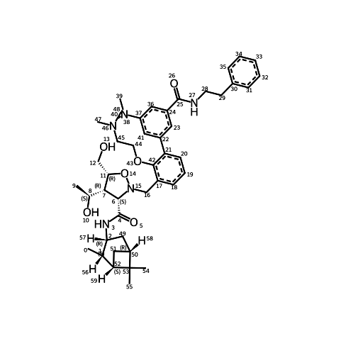 C[C@@H]1[C@H](NC(=O)[C@@H]2[C@H]([C@H](C)O)[C@H](CO)ON2Cc2cccc(-c3cc(C(=O)NCCc4ccccc4)cc(N(C)C)c3)c2OCCN(C)C)C[C@H]2C[C@@H]1C2(C)C